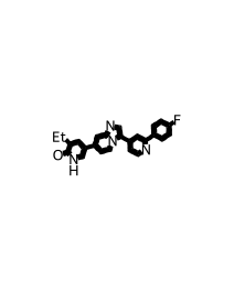 CCc1cc(-c2ccn3c(-c4ccnc(-c5ccc(F)cc5)c4)cnc3c2)c[nH]c1=O